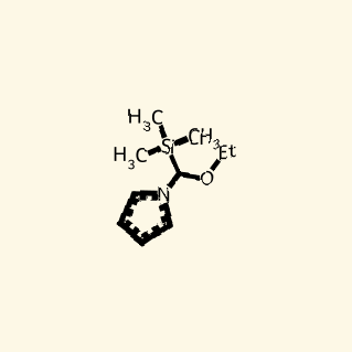 CCOC(n1cccc1)[Si](C)(C)C